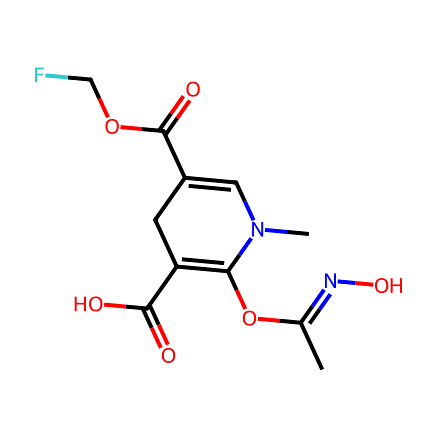 CC(=NO)OC1=C(C(=O)O)CC(C(=O)OCF)=CN1C